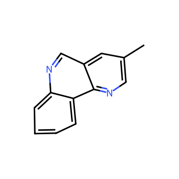 Cc1cnc2c(cnc3ccccc32)c1